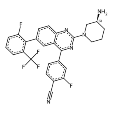 N#Cc1ccc(-c2nc(N3CCC[C@H](N)C3)nc3ccc(-c4c(F)cccc4C(F)(F)F)cc23)cc1F